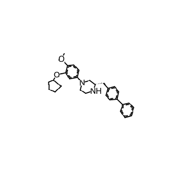 COc1ccc(N2CCN[C@@H](Cc3ccc(-c4ccccc4)cc3)C2)cc1OC1CCCC1